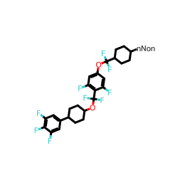 CCCCCCCCCC1CCC(C(F)(F)Oc2cc(F)c(C(F)(F)OC3CCC(c4cc(F)c(F)c(F)c4)CC3)c(F)c2)CC1